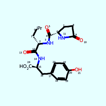 CC(C)C[C@H](NC(=O)[C@@H]1CCC(=O)N1)C(=O)N[C@@H](Cc1ccc(O)cc1)C(=O)O